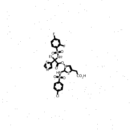 CCC(NS(=O)(=O)c1ccc(F)cc1F)(C(=O)ON1C=C(CC(=O)O)SC1NS(=O)(=O)c1ccc(Cl)cc1)c1cncs1